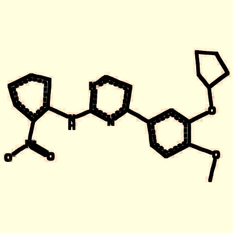 COc1ccc(-c2ccnc(Nc3ccccc3[N+](=O)[O-])n2)cc1OC1CCCC1